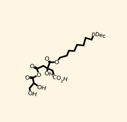 CCCCCCCCCCCCCCCCCCOC(=O)C(O)(CC(=O)O)CC(=O)OC(=O)C(O)CO